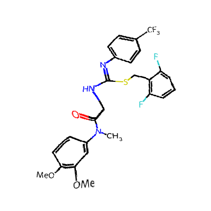 COc1ccc(N(C)C(=O)CNC(=Nc2ccc(C(F)(F)F)cc2)SCc2c(F)cccc2F)cc1OC